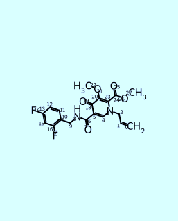 C=CCn1cc(C(=O)NCc2ccc(F)cc2F)c(=O)c(OC)c1C(=O)OC